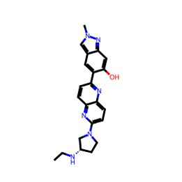 CCN[C@H]1CCN(c2ccc3nc(-c4cc5cn(C)nc5cc4O)ccc3n2)C1